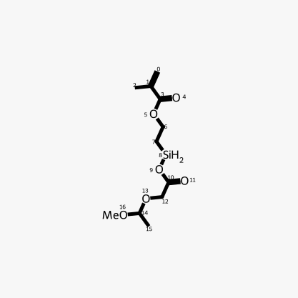 C=C(C)C(=O)OCC[SiH2]OC(=O)COC(C)OC